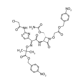 CC(C)(ON=C(C(=O)N[C@@H]1C(=O)N(OCC(=O)OCc2ccc([N+](=O)[O-])cc2)[C@H]1COC(N)=O)c1csc(NC(=O)CCl)n1)C(=O)OCc1ccc([N+](=O)[O-])cc1